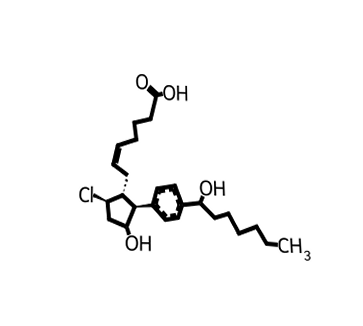 CCCCCCC(O)c1ccc([C@H]2C(O)C[C@@H](Cl)[C@@H]2C/C=C\CCCC(=O)O)cc1